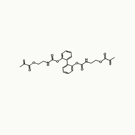 C=C(C)C(=O)OCCNC(=O)Oc1ccccc1-c1ccccc1OC(=O)NCCOC(=O)C(=C)C